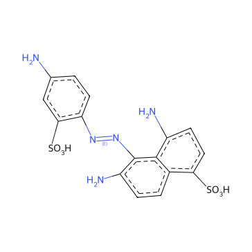 Nc1ccc(/N=N/c2c(N)ccc3c(S(=O)(=O)O)ccc(N)c23)c(S(=O)(=O)O)c1